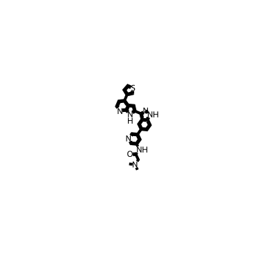 CN(C)CC(=O)Nc1cncc(-c2ccc3[nH]nc(-c4cc5c(-c6ccsc6)ccnc5[nH]4)c3c2)c1